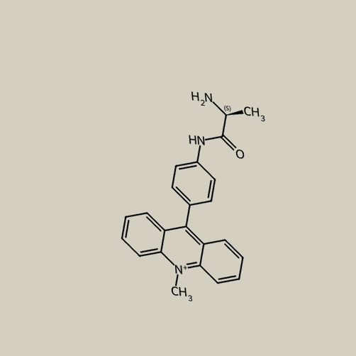 C[C@H](N)C(=O)Nc1ccc(-c2c3ccccc3[n+](C)c3ccccc23)cc1